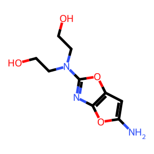 Nc1cc2oc(N(CCO)CCO)nc2o1